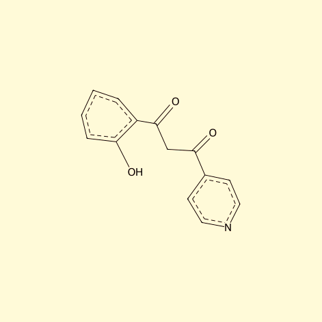 O=C(CC(=O)c1ccccc1O)c1ccncc1